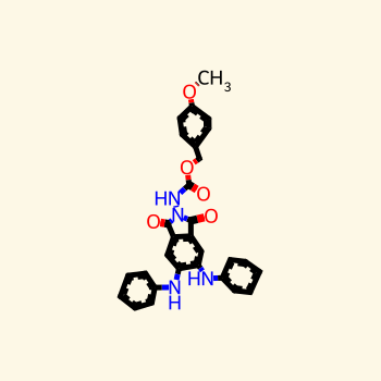 COc1ccc(COC(=O)NN2C(=O)c3cc(Nc4ccccc4)c(Nc4ccccc4)cc3C2=O)cc1